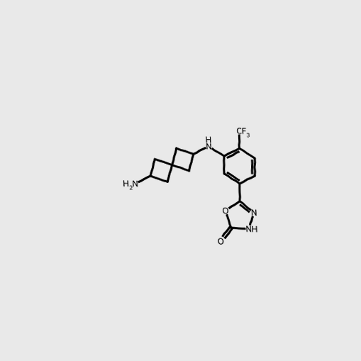 NC1CC2(C1)CC(Nc1cc(-c3n[nH]c(=O)o3)ccc1C(F)(F)F)C2